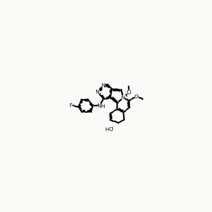 COC1=CC2=C(C=CCC2)C2=c3c(Nc4ccc(F)cc4)nncc3=C[N+]12OC.Cl